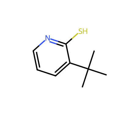 CC(C)(C)c1cccnc1S